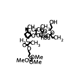 C=C(C)C(=O)OCC(C)C.C=C(C)C(=O)OCCC[Si](OC)(OC)OC.C=CC(=O)OCCCC.C=CC(=O)OCCCO.C=Cc1ccccc1